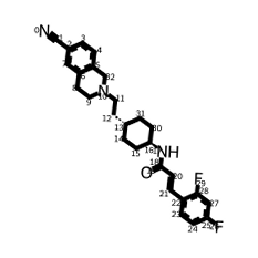 N#Cc1ccc2c(c1)CCN(CC[C@H]1CC[C@H](NC(=O)C=Cc3ccc(F)cc3F)CC1)C2